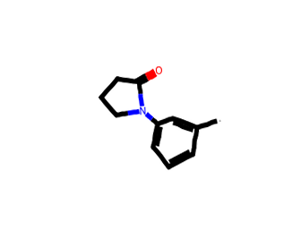 [CH2]c1cccc(N2CCCC2=O)c1